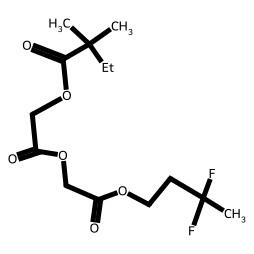 CCC(C)(C)C(=O)OCC(=O)OCC(=O)OCCC(C)(F)F